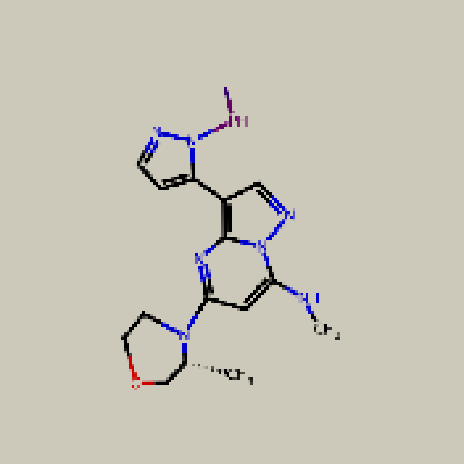 CNc1cc(N2CCOC[C@H]2C)nc2c(-c3ccnn3PI)cnn12